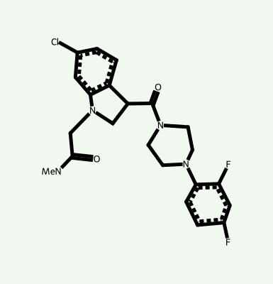 CNC(=O)CN1CC(C(=O)N2CCN(c3ccc(F)cc3F)CC2)c2ccc(Cl)cc21